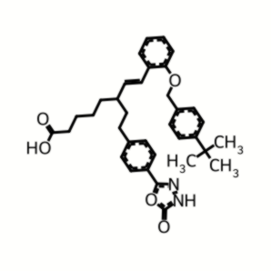 CC(C)(C)c1ccc(COc2ccccc2/C=C/C(CCCCC(=O)O)CCc2ccc(-c3n[nH]c(=O)o3)cc2)cc1